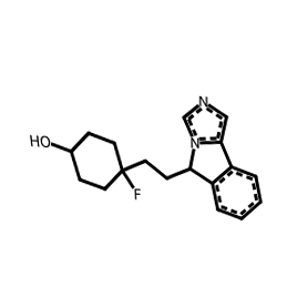 OC1CCC(F)(CCC2c3ccccc3-c3cncn32)CC1